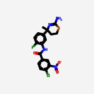 CC1(c2ccc(F)c(NC(=O)c3ccc(Cl)c([N+](=O)[O-])c3)c2)CCSC(N)=N1